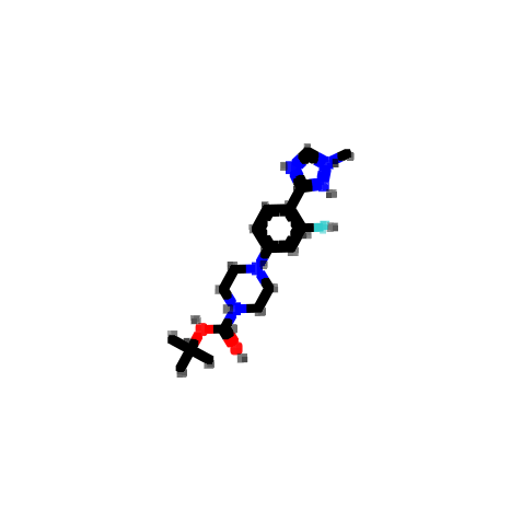 Cn1cnc(-c2ccc(N3CCN(C(=O)OC(C)(C)C)CC3)cc2F)n1